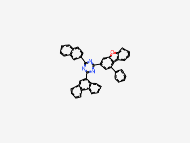 c1ccc(-c2cc(-c3nc(-c4ccc5ccccc5c4)nc(-c4cc5ccccc5c5ccccc45)n3)cc3oc4ccccc4c23)cc1